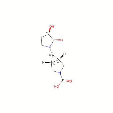 O=C(O)N1C[C@@H]2[C@H](C1)[C@@H]2N1CC[C@@H](O)C1=O